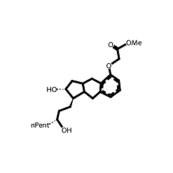 CCCCC[C@@H](O)CC[C@@H]1C2Cc3cccc(OCC(=O)OC)c3CC2C[C@H]1O